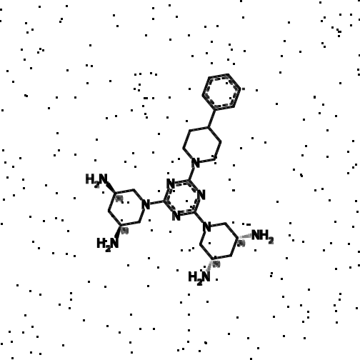 N[C@@H]1C[C@H](N)CN(c2nc(N3CCC(c4c[c]ccc4)CC3)nc(N3C[C@H](N)C[C@H](N)C3)n2)C1